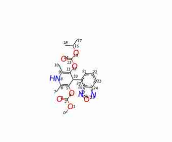 COC(=O)OC1=C(C)NC(C)=C(OC(=O)OC(C)C)C1c1cccc2nonc12